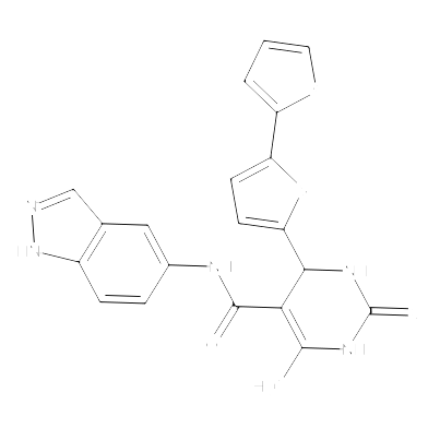 CC1=C(C(=O)Nc2ccc3[nH]ncc3c2)C(c2ccc(-c3cccs3)s2)NC(=O)N1